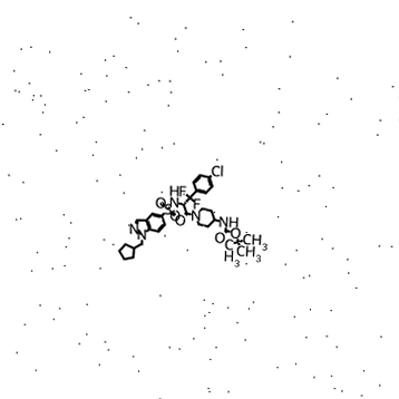 CC(C)(C)OC(=O)NC1CCN(C(=O)C(NS(=O)(=O)c2ccc3c(cnn3CC3CCCC3)c2)C(F)(F)c2ccc(Cl)cc2)CC1